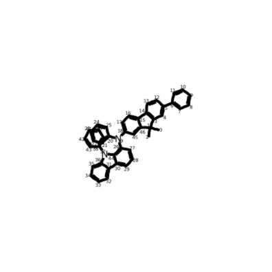 CC1(C)c2cc(-c3ccccc3)ccc2-c2ccc(N(c3ccccc3)c3cccc4c5ccccc5n(-c5ccccc5)c34)cc21